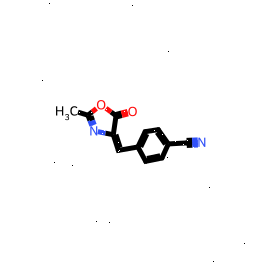 CC1=NC(=Cc2ccc(C#N)cc2)C(=O)O1